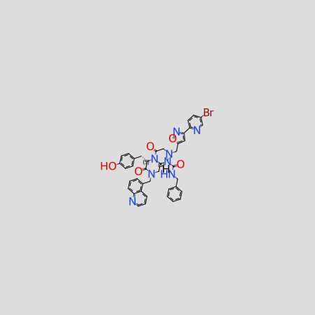 O=C1[C@H](Cc2ccc(O)cc2)N2C(=O)CN(Cc3cc(-c4ccc(Br)cn4)no3)N(C(=O)NCc3ccccc3)[C@H]2CN1Cc1cccc2ncccc12